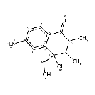 CC1N(C)C(=O)c2ccc(N)cc2C1(O)CO